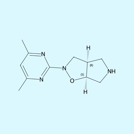 Cc1cc(C)nc(N2C[C@H]3CNC[C@H]3O2)n1